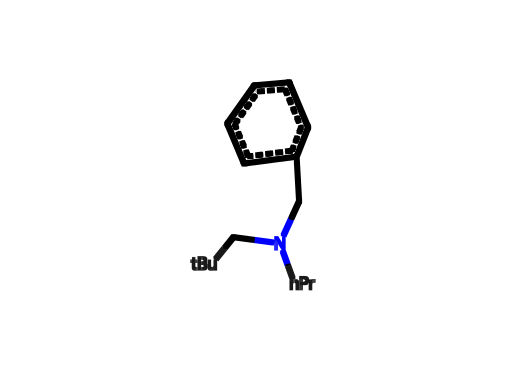 CCCN(Cc1ccccc1)CC(C)(C)C